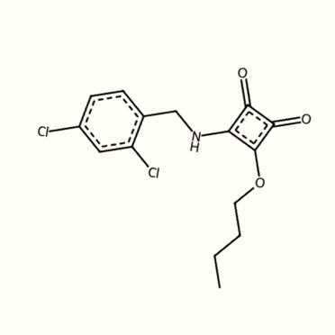 CCCCOc1c(NCc2ccc(Cl)cc2Cl)c(=O)c1=O